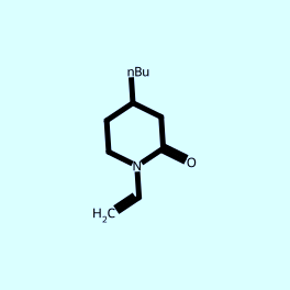 C=CN1CCC(CCCC)CC1=O